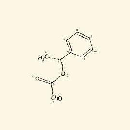 CC(OC(=O)C=O)c1ccccc1